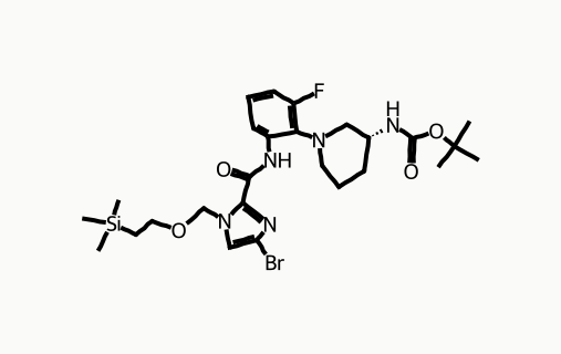 CC(C)(C)OC(=O)N[C@@H]1CCCN(c2c(F)cccc2NC(=O)c2nc(Br)cn2COCC[Si](C)(C)C)C1